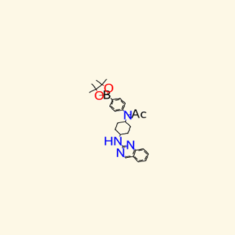 CC(=O)N(c1ccc(B2OC(C)(C)C(C)(C)O2)cc1)C1CCC(Nc2ncc3ccccc3n2)CC1